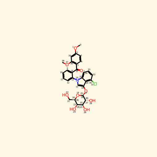 COc1ccc(C(=O)c2ccccc2-n2cc(O[C@@H]3O[C@H](CO)[C@H](O)[C@H](O)[C@H]3O)c3c(Cl)cccc32)c(OC)c1